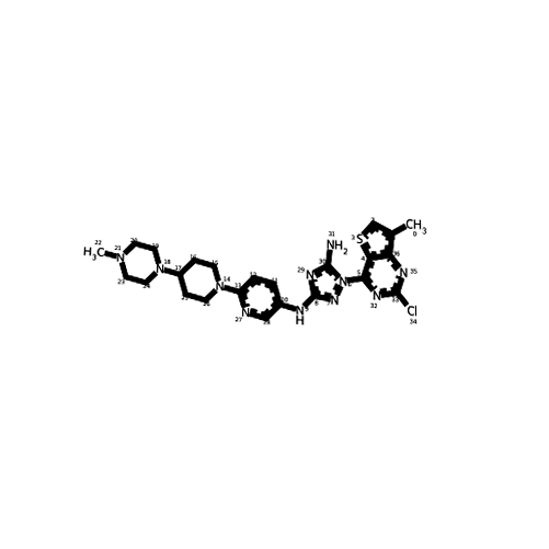 Cc1csc2c(-n3nc(Nc4ccc(N5CCC(N6CCN(C)CC6)CC5)nc4)nc3N)nc(Cl)nc12